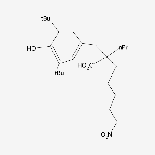 CCCC(CCCCC[N+](=O)[O-])(Cc1cc(C(C)(C)C)c(O)c(C(C)(C)C)c1)C(=O)O